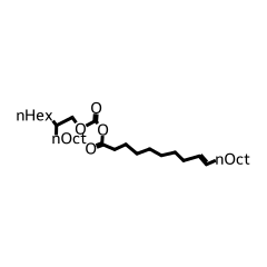 CCCCCCCCC=CCCCCCCCC(=O)OC(=O)OCC(CCCCCC)CCCCCCCC